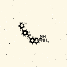 N=C(N)N1CCc2ccc(OCc3ccc(OC4CCNC4)cc3)cc2C1